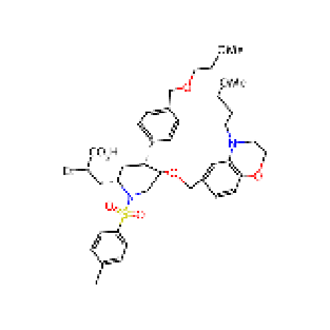 CCC(C[C@@H]1C[C@H](c2ccc(COCCOC)cc2)[C@@H](OCc2ccc3c(c2)N(CCCOC)CCO3)CN1S(=O)(=O)c1ccc(C)cc1)C(=O)O